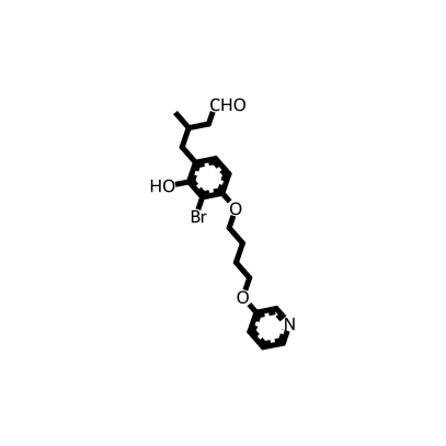 CC(CC=O)Cc1ccc(OCCCCOc2cccnc2)c(Br)c1O